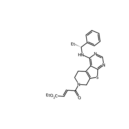 CCOC(=O)/C=C/C(=O)N1CCc2c(sc3ncnc(N[C@H](CC)c4ccccc4)c23)C1